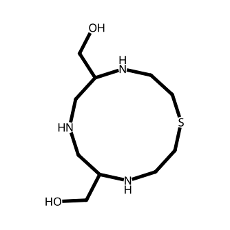 OCC1CNCC(CO)NCCSCCN1